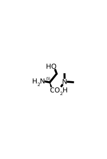 CN(C)C.N[C@@H](CO)C(=O)O